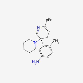 CCCC1=CCC(c2cc(N)ccc2C)(N2CCCCC2)C=N1